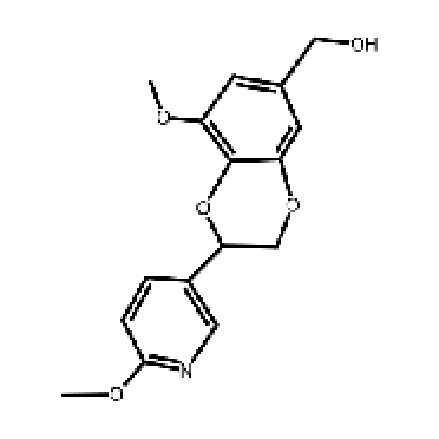 COc1ccc(C2COc3cc(CO)cc(OC)c3O2)cn1